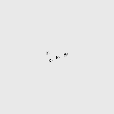 [Bi].[K].[K].[K]